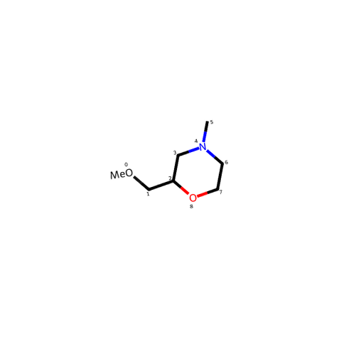 COCC1CN(C)CCO1